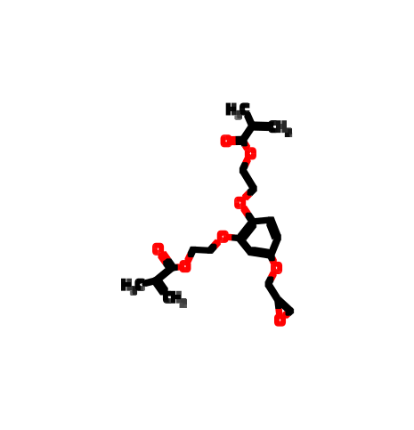 C=C(C)C(=O)OCCOc1ccc(OCC2CO2)cc1OCCOC(=O)C(=C)C